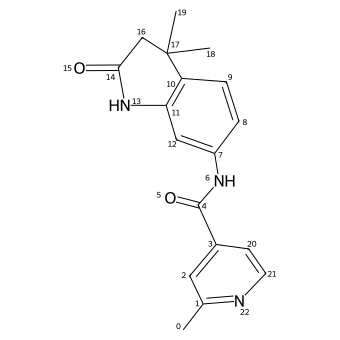 Cc1cc(C(=O)Nc2ccc3c(c2)NC(=O)CC3(C)C)ccn1